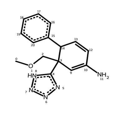 COCC1(c2nnn[nH]2)C=C(N)C=CC1c1ccccc1